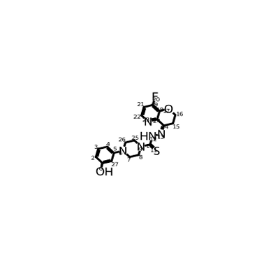 Oc1cccc(N2CCN(C(=S)N/N=C3/CCOc4c(F)ccnc43)CC2)c1